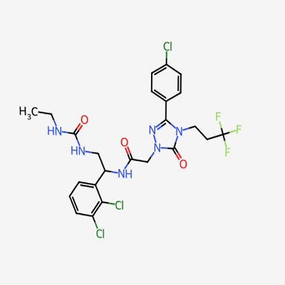 CCNC(=O)NCC(NC(=O)Cn1nc(-c2ccc(Cl)cc2)n(CCC(F)(F)F)c1=O)c1cccc(Cl)c1Cl